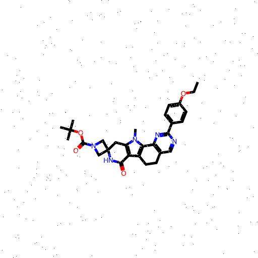 CCOc1ccc(-c2ncc3c(n2)-c2c(c4c(n2C)CC2(CN(C(=O)OC(C)(C)C)C2)NC4=O)CC3)cc1